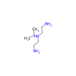 CCC.NCCNCCN